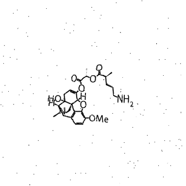 COc1ccc2c3c1O[C@H]1C(OC(=O)[C@H](C)OC(=O)[C@@H](C)CCCN)=CC[C@@]4(O)[C@@H](C2)N(C)CC[C@]314